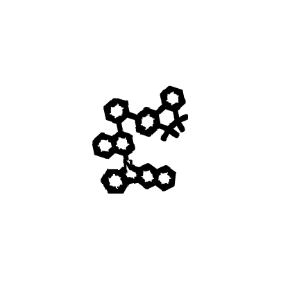 CC1(C)c2ccccc2-c2cc(-c3ccccc3-c3ccc(-n4c5ccccc5c5cc6ccccc6cc54)c4ccccc34)ccc2C1(C)C